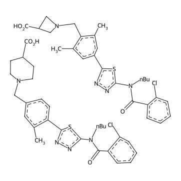 CCCCN(C(=O)c1ccccc1Cl)c1nnc(-c2cc(C)c(CN3CC(C(=O)O)C3)c(C)c2)s1.CCCCN(C(=O)c1ccccc1Cl)c1nnc(-c2ccc(CN3CCC(C(=O)O)CC3)cc2C)s1